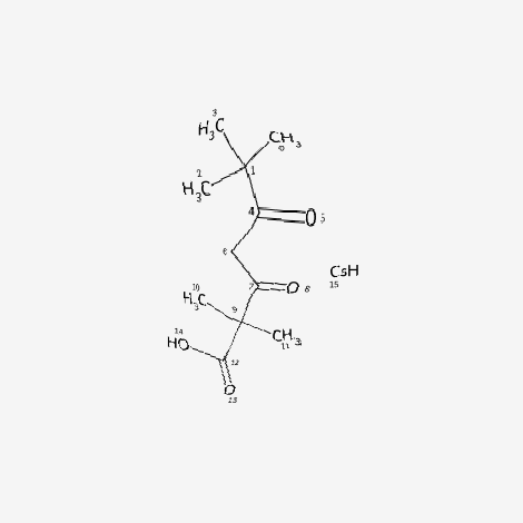 CC(C)(C)C(=O)CC(=O)C(C)(C)C(=O)O.[CsH]